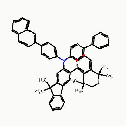 CC1(C)CCC(C)(C)c2c(-c3cc4c(cc3N(c3ccc(-c5ccccc5)cc3)c3ccc(-c5ccc6ccccc6c5)cc3)C(C)(C)c3ccccc3-4)cccc21